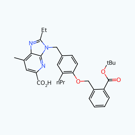 CCCc1cc(Cn2c(CC)nc3c(C)cc(C(=O)O)nc32)ccc1OCc1ccccc1C(=O)OC(C)(C)C